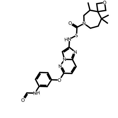 CC1CN(C(=O)SNc2cn3nc(Oc4cccc(NC=O)c4)ccc3n2)CCC(C)(C)C12COC2